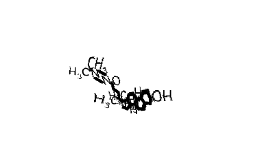 CC(C)N1CCN(C(=O)CC[C@@H](C)[C@H]2CC[C@H]3[C@@H]4CC=C5C[C@@H](O)CC[C@]5(C)[C@H]4CC[C@]23C)CC1